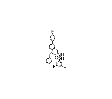 O=S(=O)(NC1Cc2cc(-c3ccc(F)cc3)ccc2N(Cc2ccccc2)C1)c1cc(F)cc(F)c1